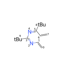 C=C/N=C(\N=C(/C=C)C(C)(C)C)C(C)(C)C